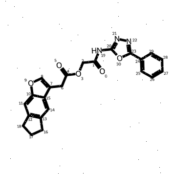 O=C(COC(=O)Cc1coc2cc3c(cc12)CCC3)Nc1nnc(-c2ccccc2)o1